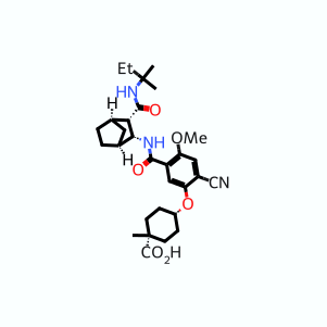 CCC(C)(C)NC(=O)[C@H]1[C@@H]2CC[C@@H](C2)[C@H]1NC(=O)c1cc(O[C@H]2CC[C@@](C)(C(=O)O)CC2)c(C#N)cc1OC